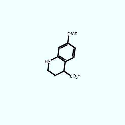 COc1ccc2c(c1)NCCC2C(=O)O